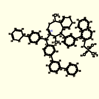 CC1C/C=C(/N(c2ccc(-c3cccc(-c4ccccc4)c3)cc2)c2ccc(C3C=CC=CC3)cc2)C(C)N(c2cccc(-c3c(CS(C)(=O)=O)ccc4ccccc34)c2)C2=CCCC=C21